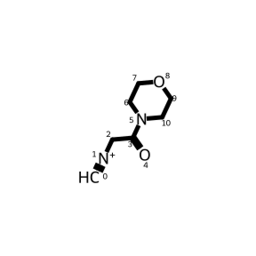 C#[N+]CC(=O)N1CCOCC1